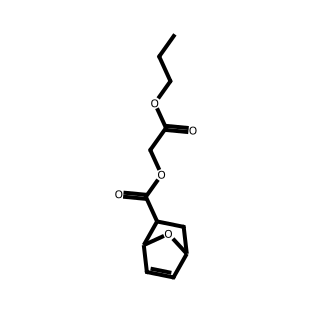 CCCOC(=O)COC(=O)C1CC2C=CC1O2